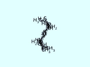 CCCCC(CC)CNC(=O)N=C(N)NCCCN1CCN(CCCNC(N)=NC(=O)NCC(CC)CCCC)CC1